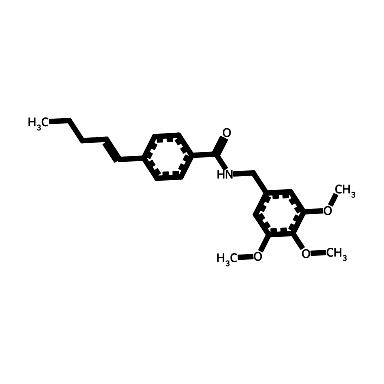 CCC/C=C/c1ccc(C(=O)NCc2cc(OC)c(OC)c(OC)c2)cc1